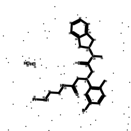 Cc1ccc(Br)cc1N(CC(=O)NCCNC(C)C)CC(=O)N(C)N1Cc2ccccc2C1.Cl.Cl